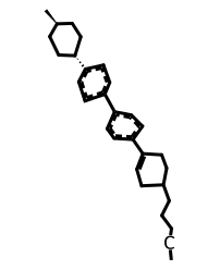 CCCCCC1CC=C(c2ccc(-c3ccc([C@H]4CC[C@H](C)CC4)cc3)cc2)CC1